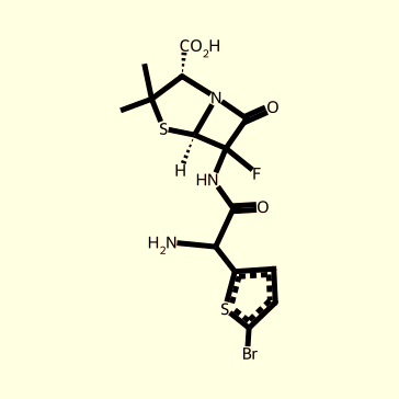 CC1(C)S[C@H]2N(C(=O)C2(F)NC(=O)C(N)c2ccc(Br)s2)[C@H]1C(=O)O